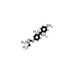 C=C[SiH](C)COc1ccc(C(C)(C)c2ccc(C)cc2)cc1